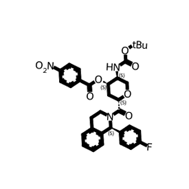 CC(C)(C)OC(=O)N[C@H]1CO[C@H](C(=O)N2CCc3ccccc3[C@@H]2c2ccc(F)cc2)C[C@@H]1OC(=O)c1ccc([N+](=O)[O-])cc1